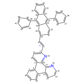 C(=C\c1ccc2c3ccccc3c3cccnc3c2n1)/c1ccc2c(-c3ccccc3)c3ccccc3c(-c3ccccc3)c2c1